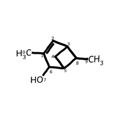 CC1=CC2CC(C1O)C2C